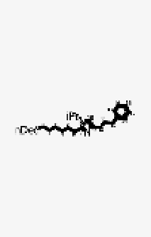 CCCCCCCCCCCCCCCCc1nc(CCCc2ccccc2)cn1C(C)C